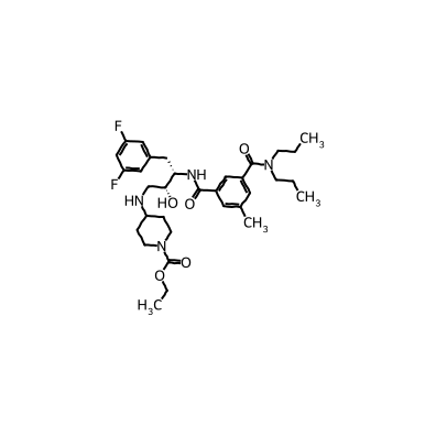 CCCN(CCC)C(=O)c1cc(C)cc(C(=O)N[C@@H](Cc2cc(F)cc(F)c2)[C@H](O)CNC2CCN(C(=O)OCC)CC2)c1